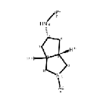 CC(=O)N1C[C@H]2C[C@@H](NC(C)C)C[C@H]2C1